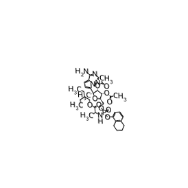 CCC(CC)COC(=O)[C@H](C)NP(=O)(OC[C@H]1O[C@@](C)(c2ccc3c(N)ncnn23)[C@H](OC(C)=O)[C@@H]1OC(C)=O)Oc1cccc2c1CCCC2